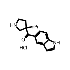 CCCC1(C(=O)c2ccc3[nH]ccc3c2)CCNC1.Cl